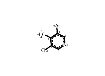 CC(=O)c1cncc(Cl)c1C